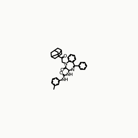 Cc1cccc(NC(=O)NC2N=C(c3ccccc3)c3ccccc3N(CC(=O)C34CC5CC(CC(C5)C3)C4)C2=O)c1